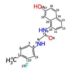 Cc1ccc(NCC(=O)Nc2cccc3ccc(O)cc23)cc1F